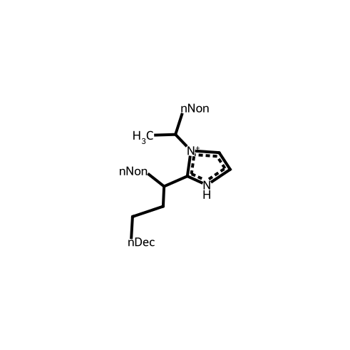 CCCCCCCCCCCCC(CCCCCCCCC)c1[nH]cc[n+]1C(C)CCCCCCCCC